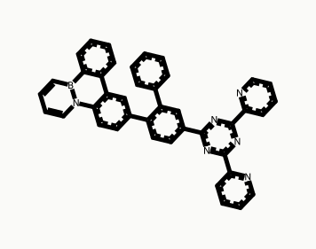 C1=CB2c3ccccc3-c3cc(-c4ccc(-c5nc(-c6ccccn6)nc(-c6ccccn6)n5)cc4-c4ccccc4)ccc3N2C=C1